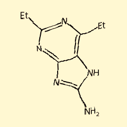 CCc1nc(CC)c2[nH]c(N)nc2n1